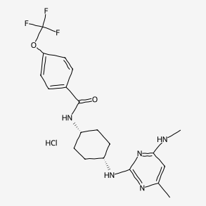 CNc1cc(C)nc(N[C@H]2CC[C@@H](NC(=O)c3ccc(OC(F)(F)F)cc3)CC2)n1.Cl